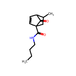 CCCCNC(=O)C12C=CC(C1=O)C(C)C2